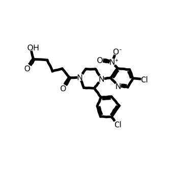 O=C(O)CCCC(=O)N1CCN(c2ncc(Cl)cc2[N+](=O)[O-])C(c2ccc(Cl)cc2)C1